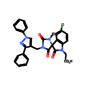 CN1C(=O)N(Cc2cn(-c3ccccc3)nc2-c2ccccc2)C(=O)[C@@]12C(=O)N(CC(=O)O)c1ccc(Cl)cc12